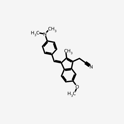 COc1ccc2c(c1)C(CC#N)=C(C)C2=Cc1ccc(N(C)C)cc1